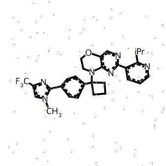 CC(C)c1ncccc1-c1ncc2c(n1)N(C1(c3ccc(-c4nc(C(F)(F)F)cn4C)cc3)CCC1)CCO2